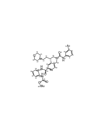 CC(=O)c1cccc(NC(=O)N(CCCCN2CCOCC2)Cc2ccc(C(=O)Nc3ccccc3NC(=O)OC(C)(C)C)nc2)c1